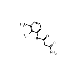 Cc1cccc(NC(=O)CC(N)=O)c1C